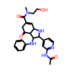 CC(=O)Nc1cc(C2NC3C=C(C(=O)N(C)CCO)CC(=O)C3C2Nc2ccccc2)ccn1